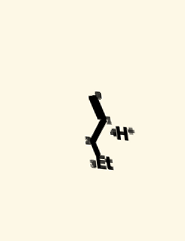 C=CCCC.[H+]